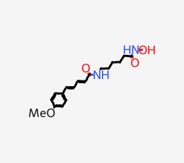 COc1ccc(/C=C/C=C/C(=O)NCCCCCC(=O)NO)cc1